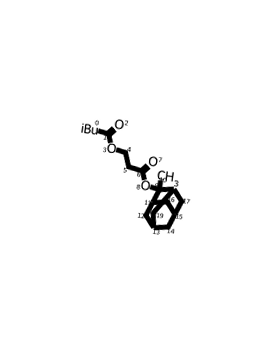 CCC(C)C(=O)OCCC(=O)OC1(C)C2CC3CC(C2)CC1C3